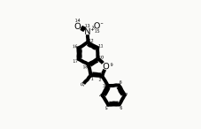 [CH2]c1c(-c2ccccc2)oc2cc([N+](=O)[O-])ccc12